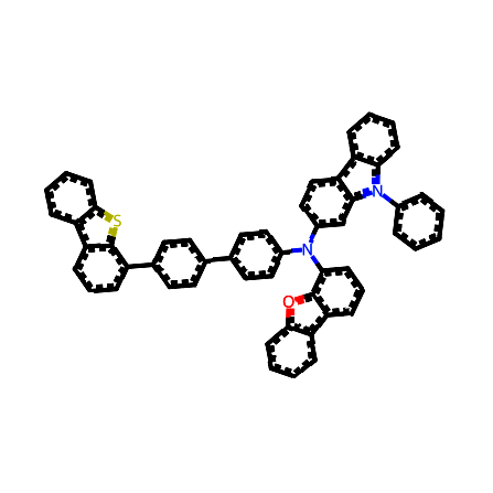 c1ccc(-n2c3ccccc3c3ccc(N(c4ccc(-c5ccc(-c6cccc7c6sc6ccccc67)cc5)cc4)c4cccc5c4oc4ccccc45)cc32)cc1